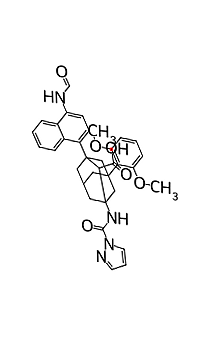 COc1cccc(OC)c1C12CC3CC(NC(=O)n4cccn4)(C1)C(C(=O)O)C(c1ccc(NC=O)c4ccccc14)(C3)C2